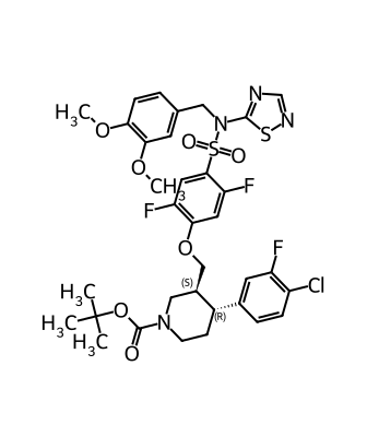 COc1ccc(CN(c2ncns2)S(=O)(=O)c2cc(F)c(OC[C@@H]3CN(C(=O)OC(C)(C)C)CC[C@H]3c3ccc(Cl)c(F)c3)cc2F)cc1OC